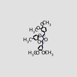 COc1ccc(/C=C2\Oc3ccc(C)cc3O/C(=C\c3ccc(OC)c(OC)c3)C2=O)cc1OC